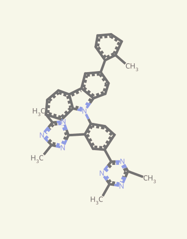 Cc1nc(C)nc(-c2ccc(-n3c4ccccc4c4cc(-c5ccccc5C)ccc43)c(-c3nc(C)nc(C)n3)c2)n1